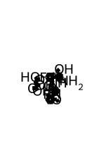 COc1cccc(F)c1-c1nccc(C(=O)Nc2cc(F)ccc2N2C[C@@H](N)C[C@H]2CO)n1.O=C(O)CC(O)C(=O)O